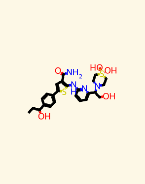 CCC(O)c1ccc(-c2cc(C(N)=O)c(Nc3cccc(C(CO)N4CCS(O)(O)CC4)n3)s2)cc1